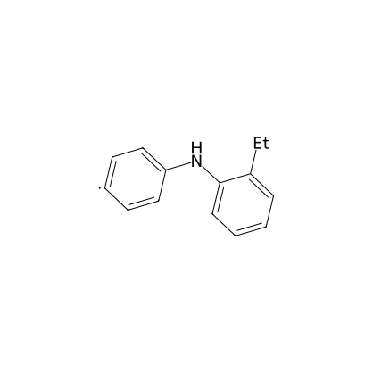 CCc1ccccc1Nc1cc[c]cc1